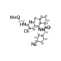 COCCNc1nc(F)c(-c2nn(Cc3ccc(C#N)cc3)c(=O)c3ccccc23)cc1Cl